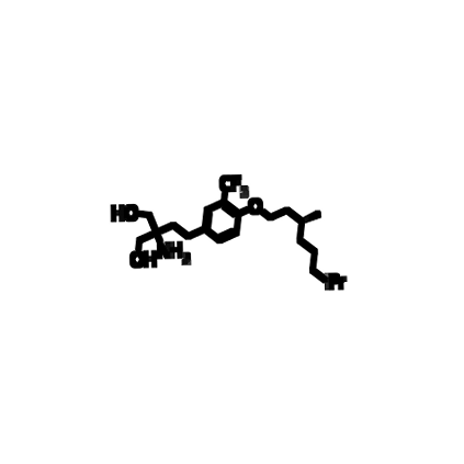 CC(C)CCC[C@H](C)CCOc1ccc(CCC(N)(CO)CO)cc1C(F)(F)F